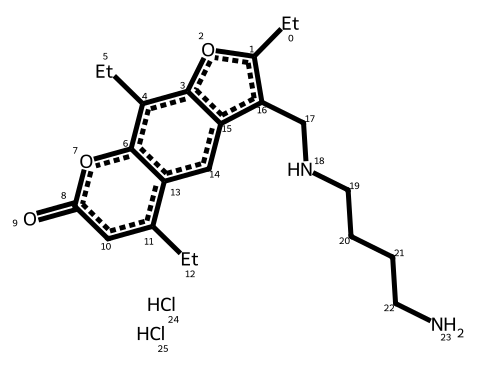 CCc1oc2c(CC)c3oc(=O)cc(CC)c3cc2c1CNCCCCN.Cl.Cl